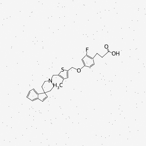 Cc1cc(COc2ccc(CCC(=O)O)c(F)c2)sc1CN1CCC2(C=Cc3ccccc32)CC1